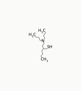 CCCCC(CS)CCN(CCCC)CCCC